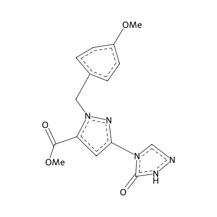 COC(=O)c1cc(-n2cn[nH]c2=O)nn1Cc1ccc(OC)cc1